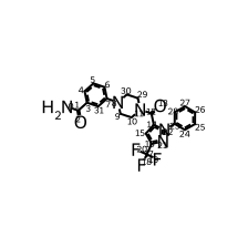 NC(=O)c1cccc(N2CCN(C(=O)c3cc(C(F)(F)F)nn3-c3ccccc3)CC2)c1